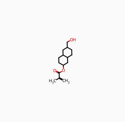 C=C(C)C(=O)OC1CCC2CC(CO)CCC2C1